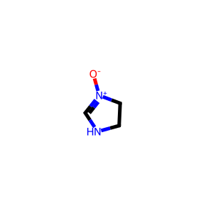 [O-][N+]1=CNCC1